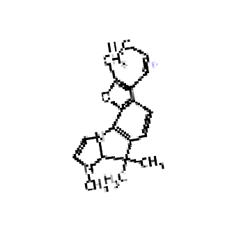 C/C=C\c1c(C)oc2c3c(ccc12)C(C)(C)C1N(C)C=CN31